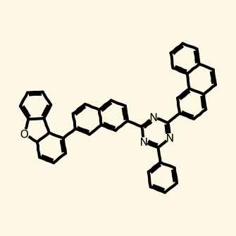 C1=CC2Oc3ccccc3C2C(c2ccc3ccc(-c4nc(-c5ccccc5)nc(-c5ccc6ccc7ccccc7c6c5)n4)cc3c2)=C1